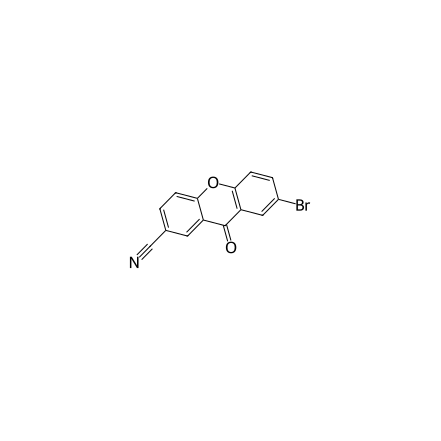 N#Cc1ccc2oc3ccc(Br)cc3c(=O)c2c1